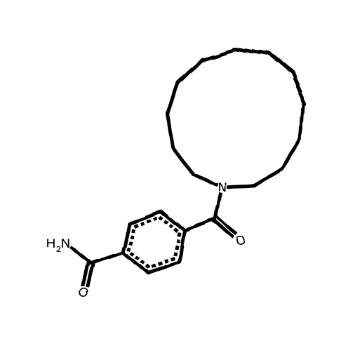 NC(=O)c1ccc(C(=O)N2CCCCCCCCCCCC2)cc1